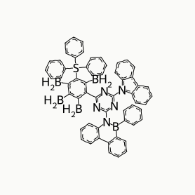 Bc1c(B)c(-c2nc(N3B(c4ccccc4)c4ccccc4-c4ccccc43)nc(-n3c4ccccc4c4ccccc43)n2)c(B)c(S(c2ccccc2)(c2ccccc2)c2ccccc2)c1B